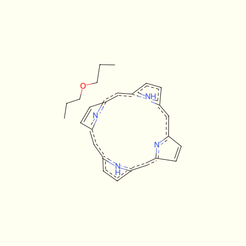 C1=Cc2cc3ccc(cc4nc(cc5ccc(cc1n2)[nH]5)C=C4)[nH]3.CCCOCCC